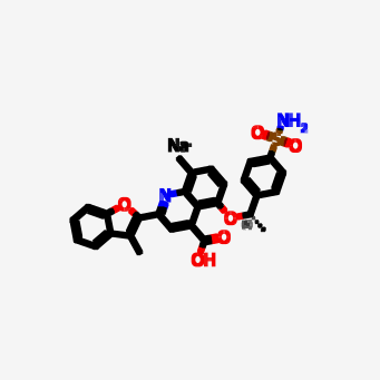 Cc1c(-c2cc(C(=O)O)c3c(O[C@@H](C)c4ccc(S(N)(=O)=O)cc4)ccc(C)c3n2)oc2ccccc12.[Na]